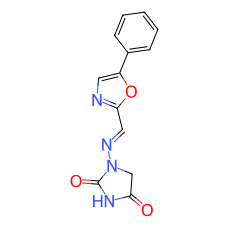 O=C1CN(N=Cc2ncc(-c3ccccc3)o2)C(=O)N1